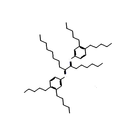 CCCCCCCCC(=N\c1ccc(CCCCC)c(CCCCC)c1)/C(CCCCCC)=N/c1ccc(CCCCC)c(CCCCC)c1.[Ni]